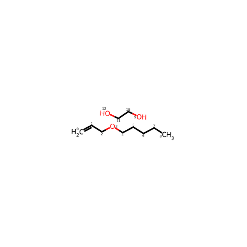 C=CCOCCCCC.OCCO